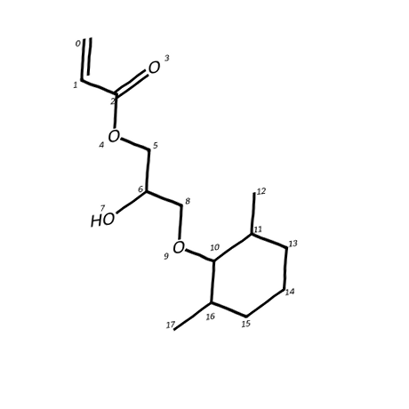 C=CC(=O)OCC(O)COC1C(C)CCCC1C